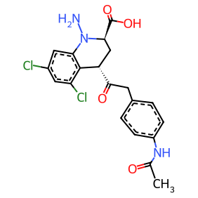 CC(=O)Nc1ccc(CC(=O)[C@H]2C[C@H](C(=O)O)N(N)c3cc(Cl)cc(Cl)c32)cc1